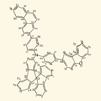 c1ccc2c(c1)-c1ccccc1C21c2ccccc2-c2ccc(N(c3ccc(-c4ccc5c(ccc6ccccc65)c4)cc3)c3ccc(-c4ccc5oc6ccccc6c5c4)cc3)cc21